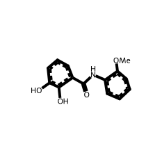 COc1ccccc1NC(=O)c1cccc(O)c1O